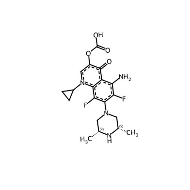 C[C@@H]1CN(c2c(F)c(N)c3c(=O)c(OC(=O)O)cn(C4CC4)c3c2F)C[C@H](C)N1